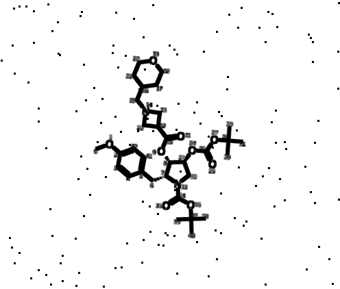 COc1ccc(C[C@@H]2[C@H](OC(=O)C3CN(CC4CCOCC4)C3)[C@@H](OC(=O)OC(C)(C)C)CN2C(=O)OC(C)(C)C)cc1